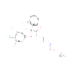 CCCCOC(=O)NCCCC(=O)[C@]1(c2ccccc2)Oc2cc(F)c(Cl)c(Br)c2[C@@H]1OC